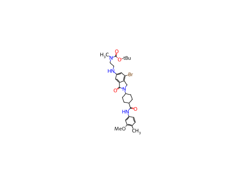 COc1cc(NC(=O)C2CCC(N3Cc4c(Br)cc(NCCN(C)C(=O)OC(C)(C)C)cc4C3=O)CC2)ccc1C